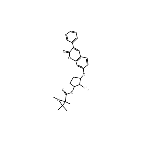 CN1C(C)(C)C1(C)C(=O)OC1CCC(Oc2ccc3cc(-c4ccccc4)c(=O)oc3c2)C1C(F)(F)F